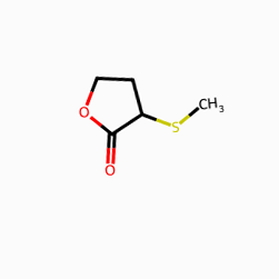 CSC1CCOC1=O